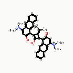 CCCCCCN(CCCCCC)c1cc(O)c(C2=C(O)C(c3c(O)cc(N(CCCCCC)CCCCCC)c4cc5ccccc5cc34)C2=C(C#N)C#N)c2cc3ccccc3cc12